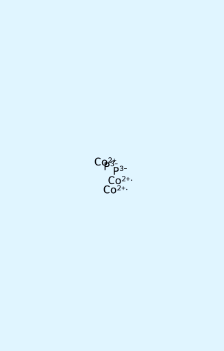 [Co+2].[Co+2].[Co+2].[P-3].[P-3]